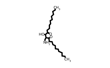 CCCCCCCCCCCC(=O)C(O)C(CN)C(=O)CCCCCCCCCCC